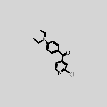 CCN(CC)c1ccc(C(=O)c2ccnc(Cl)c2)cc1